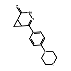 O=C1NN=C(c2ccc(N3CCOCC3)cc2)C2CC12